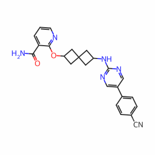 N#Cc1ccc(-c2cnc(NC3CC4(C3)CC(Oc3ncccc3C(N)=O)C4)nc2)cc1